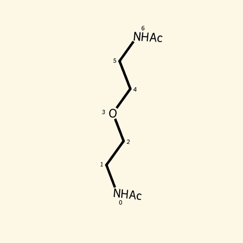 CC(=O)NCCOCCNC(C)=O